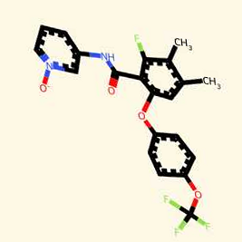 Cc1cc(Oc2ccc(OC(F)(F)F)cc2)c(C(=O)Nc2ccc[n+]([O-])c2)c(F)c1C